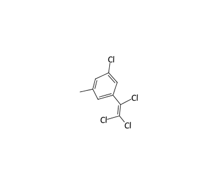 Cc1cc(Cl)cc(C(Cl)=C(Cl)Cl)c1